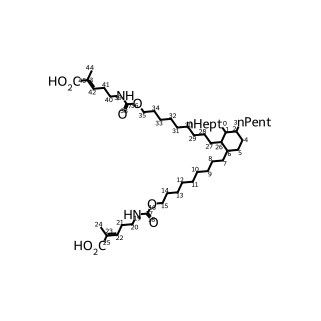 CCCCCCCC1C(CCCCC)CCC(CCCCCCCCCOC(=O)NCCC=C(C)C(=O)O)C1CCCCCCCCCOC(=O)NCCC=C(C)C(=O)O